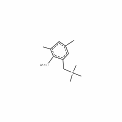 COc1c(C)cc(C)cc1C[N+](C)(C)C